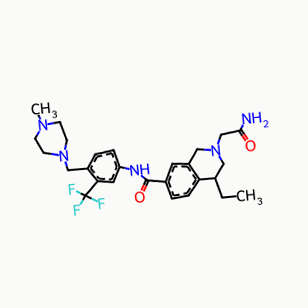 CCC1CN(CC(N)=O)Cc2cc(C(=O)Nc3ccc(CN4CCN(C)CC4)c(C(F)(F)F)c3)ccc21